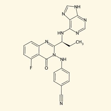 CC[C@H](Nc1ncnc2[nH]cnc12)c1nc2cccc(F)c2c(=O)n1Nc1ccc(C#N)cc1